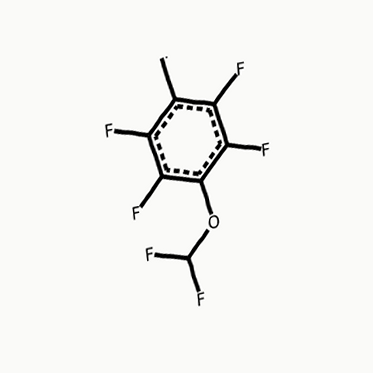 [CH2]c1c(F)c(F)c(OC(F)F)c(F)c1F